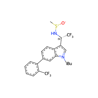 CCC(C)n1cc([C@H](N[S+](C)[O-])C(F)(F)F)c2ccc(-c3ccccc3C(F)(F)F)cc21